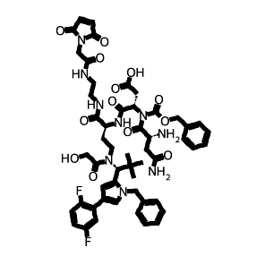 CC(C)(C)[C@H](c1cc(-c2cc(F)ccc2F)cn1Cc1ccccc1)N(CC[C@H](NC(=O)[C@H](CC(=O)O)N(C(=O)OCc1ccccc1)C(=O)[C@H](N)CC(N)=O)C(=O)NCCNC(=O)CN1C(=O)C=CC1=O)C(=O)CO